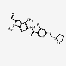 Cc1c(NC(=O)c2ccc(OC[C@@H]3CCCO3)cc2F)ccc2c1cc(C=O)n2C